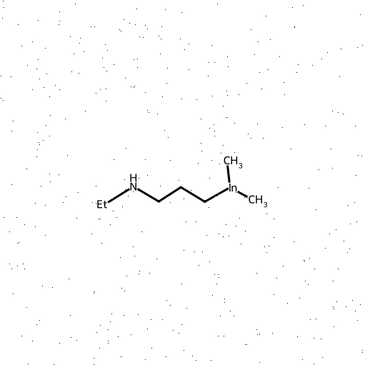 CCNCC[CH2][In]([CH3])[CH3]